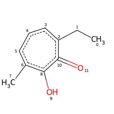 CCc1cccc(C)c(O)c1=O